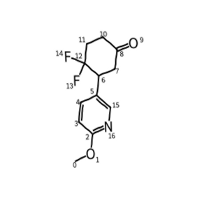 COc1ccc(C2CC(=O)CCC2(F)F)cn1